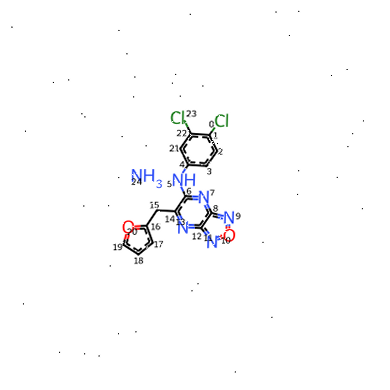 Clc1ccc(Nc2nc3nonc3nc2Cc2ccco2)cc1Cl.N